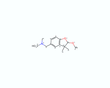 CC(C)OC1Oc2ccc(CN(C)S(=O)(=O)O)cc2C1(C)C